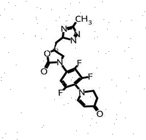 CC1=NC(C[C@H]2CN(c3cc(F)c(N4C=CC(=O)CC4)c(F)c3F)C(=O)O2)N=N1